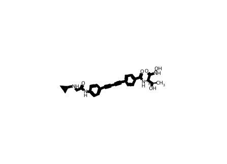 C[C@@H](O)[C@H](NC(=O)c1ccc(C#CC#Cc2ccc(NC(=O)CNC3CC3)cc2)cc1)C(=O)NO